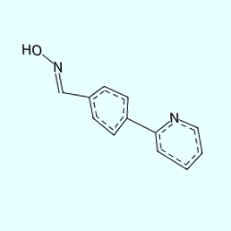 ON=Cc1ccc(-c2ccccn2)cc1